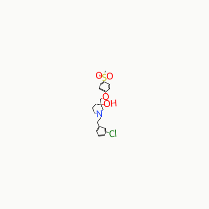 CS(=O)(=O)c1ccc(OCC2(O)CCCN(CCc3cccc(Cl)c3)C2)cc1